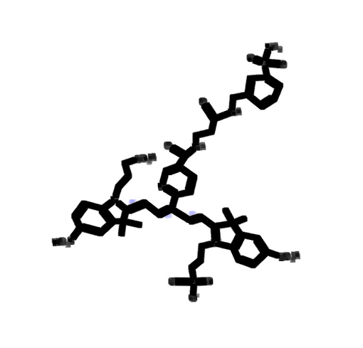 CC1(C)C(/C=C/C(=C/C=C2/N(CCCS(=O)(=O)O)c3ccc(S(=O)(=O)O)cc3C2(C)C)c2ccc(C(=O)NCCC(=O)NCc3cccc(S(N)(=O)=O)c3)cn2)=[N+](CCCS(=O)(=O)[O-])c2ccc(S(=O)(=O)O)cc21